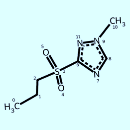 CCCS(=O)(=O)c1ncn(C)n1